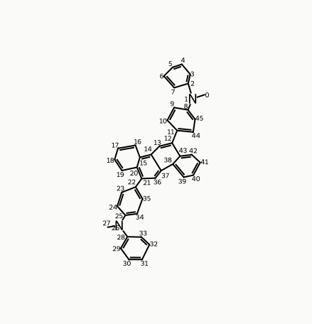 CN(c1ccccc1)c1ccc(-c2cc3c4ccccc4c(-c4ccc(N(C)c5ccccc5)cc4)cc3c3ccccc23)cc1